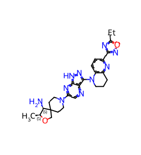 CCc1nc(-c2ccc3c(n2)CCCN3c2n[nH]c3nc(N4CCC5(CC4)CO[C@@H](C)[C@H]5N)cnc23)no1